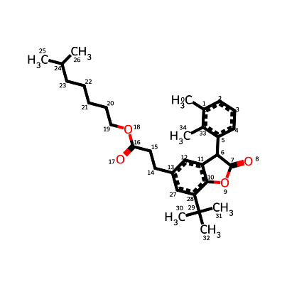 Cc1cccc(C2C(=O)Oc3c2cc(CCC(=O)OCCCCCC(C)C)cc3C(C)(C)C)c1C